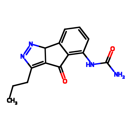 CCCC1=C2C(=O)c3c(NC(N)=O)cccc3C2N=N1